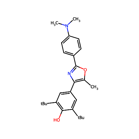 Cc1oc(-c2ccc(N(C)C)cc2)nc1-c1cc(C(C)(C)C)c(O)c(C(C)(C)C)c1